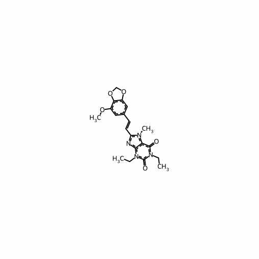 CCn1c(=O)c2c(nc(C=Cc3cc(OC)c4c(c3)OCO4)n2C)n(CC)c1=O